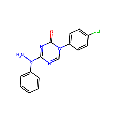 NN(c1ccccc1)c1ncn(-c2ccc(Cl)cc2)c(=O)n1